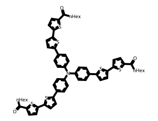 CCCCCCC(=O)c1ccc(-c2ccc(-c3ccc(N(c4ccc(-c5ccc(-c6ccc(C(=O)CCCCCC)s6)s5)cc4)c4ccc(-c5ccc(-c6ccc(C(=O)CCCCCC)s6)s5)cc4)cc3)s2)s1